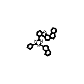 c1ccc(-c2nc(-c3ccc4ccccc4c3)nc(-c3cccc4sc5c(ccc6ccc7ccccc7c65)c34)n2)cc1